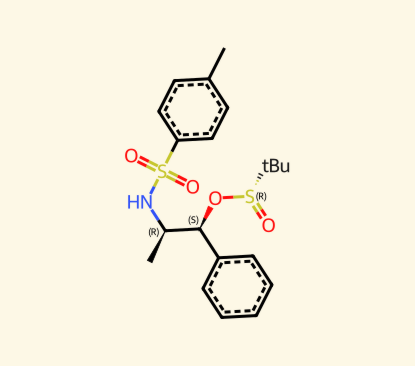 Cc1ccc(S(=O)(=O)N[C@H](C)[C@@H](O[S@@](=O)C(C)(C)C)c2ccccc2)cc1